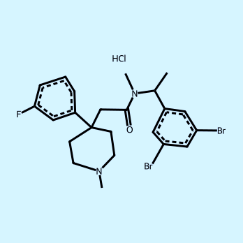 CC(c1cc(Br)cc(Br)c1)N(C)C(=O)CC1(c2cccc(F)c2)CCN(C)CC1.Cl